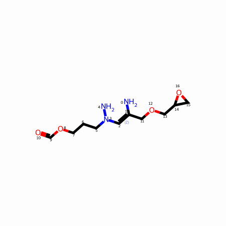 N/C(=C\N(N)CCCOC=O)COCC1CO1